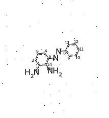 Nc1cccc(N=Nc2ccccc2)c1N